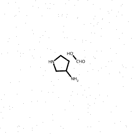 NC1CCNC1.O=CO